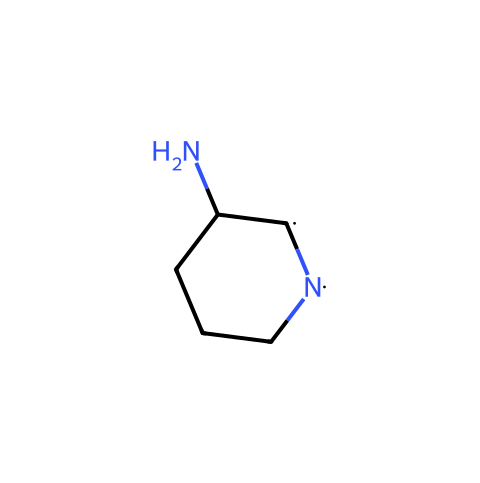 NC1[CH][N]CCC1